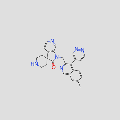 Cc1ccc2c(-c3ccnnc3)c(CN3C(=O)C4(CCNCC4)c4ccncc43)ncc2c1